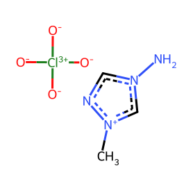 C[n+]1cn(N)cn1.[O-][Cl+3]([O-])([O-])[O-]